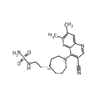 Cc1cc2ncc(C#N)c(N3CCC[C@H](CCNS(N)(=O)=O)CC3)c2cc1C